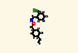 C=Cc1ccc(CO/N=[C]\c2ccccc2Br)cc1